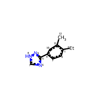 CCc1ccc(-c2nc[nH]n2)cc1C